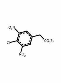 CCOC(=O)Cc1cc([N+](=O)[O-])c(Cl)c([N+](=O)[O-])c1